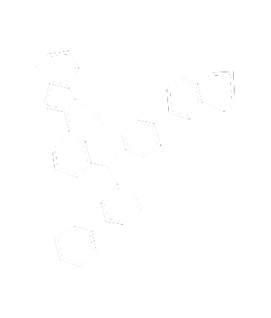 c1ccc(-c2cccc(N(c3ccc(-c4ccc5ccccc5c4)cc3)c3cccc4c3ccc3c5ccccc5oc43)c2)cc1